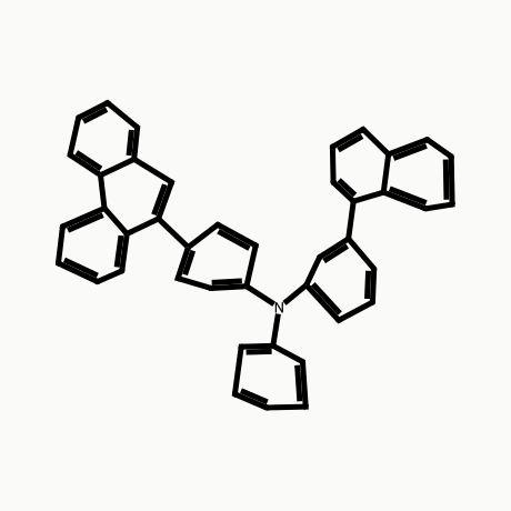 c1ccc(N(c2ccc(-c3cc4ccccc4c4ccccc34)cc2)c2cccc(-c3cccc4ccccc34)c2)cc1